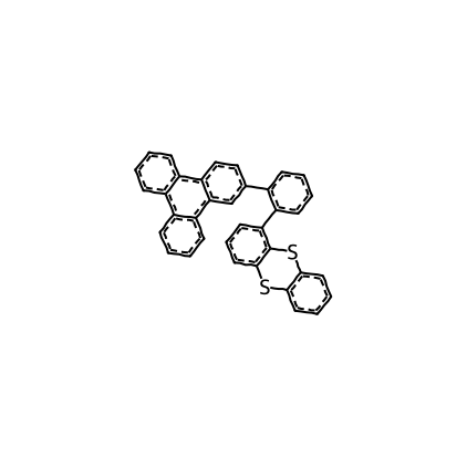 c1ccc2c(c1)Sc1cccc(-c3ccccc3-c3ccc4c5ccccc5c5ccccc5c4c3)c1S2